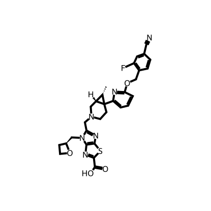 C[C@H]1[C@H]2CN(Cc3nc4sc(C(=O)O)nc4n3C[C@@H]3CCO3)CCC21c1cccc(OCc2ccc(C#N)cc2F)n1